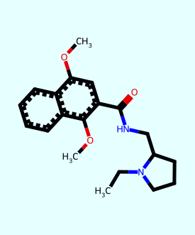 CCN1CCCC1CNC(=O)c1cc(OC)c2ccccc2c1OC